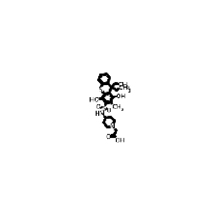 CCC1(CC)c2ccccc2Sc2c(O)c(S(=O)(=O)NC3CCN(CC(=O)O)CC3)c(C)c(O)c21